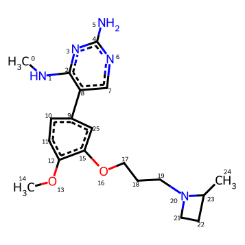 CNc1nc(N)ncc1-c1ccc(OC)c(OCCCN2CCC2C)c1